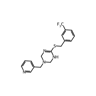 FC(F)(F)c1cccc(CSC2=NCN(Cc3cccnc3)CN2)c1